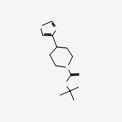 CC(C)(C)OC(=O)N1CCC(c2cscn2)CC1